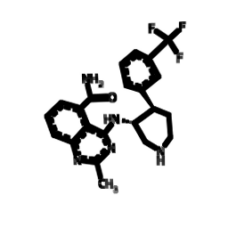 Cc1nc(N[C@H]2CNCC[C@@H]2c2cccc(C(F)(F)F)c2)c2c(C(N)=O)cccc2n1